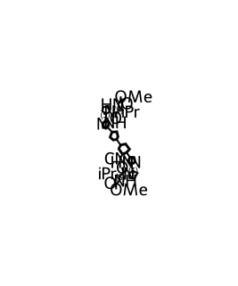 [C-]#[N+]c1cc(-c2ccc(-c3cnc([C@@H]4CCCN4C(=O)[C@@H](NC(=O)OC)C(C)C)[nH]3)cc2)ccc1-c1cnc([C@@H]2CCCN2C(=O)[C@@H](NC(=O)OC)C(C)C)[nH]1